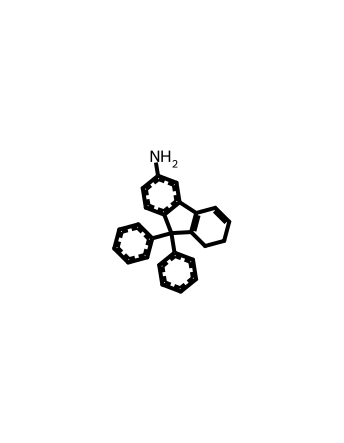 Nc1ccc2c(c1)C1=C(CCC=C1)C2(c1ccccc1)c1ccccc1